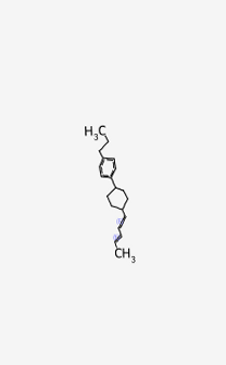 C/C=C/C=C/C1CCC(c2ccc(CCC)cc2)CC1